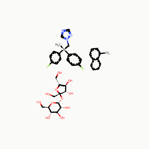 C[Si](Cn1cncn1)(c1ccc(F)cc1)c1ccc(F)cc1.Cc1cccc2ccccc12.OC[C@H]1O[C@@](CO)(O[C@H]2O[C@H](CO)[C@@H](O)[C@H](O)[C@H]2O)[C@@H](O)[C@@H]1O